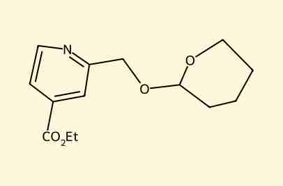 CCOC(=O)c1ccnc(COC2CCCCO2)c1